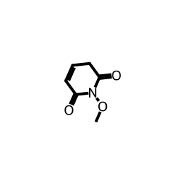 CON1C(=O)C=CCC1=O